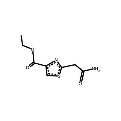 CCOC(=O)c1csc(CC(N)=O)n1